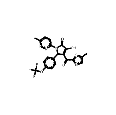 Cc1ccc(N2C(=O)C(O)=C(C(=O)c3ncc(C)s3)C2c2ccc(OC(F)(F)F)cc2)nn1